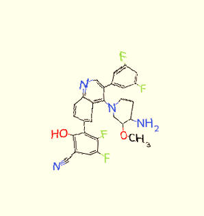 COC1CN(c2c(-c3cc(F)cc(F)c3)cnc3ccc(-c4c(O)c(C#N)cc(F)c4F)cc23)CCC1N